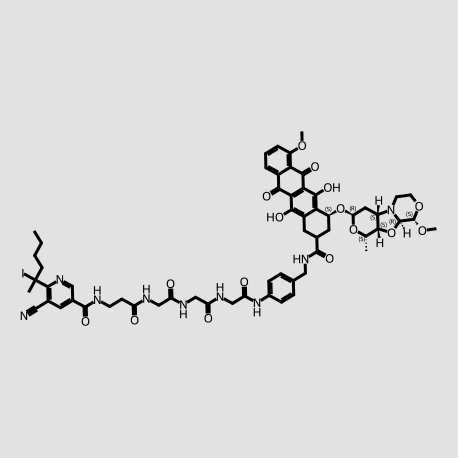 CCCCC(C)(I)c1ncc(C(=O)NCCC(=O)NCC(=O)NCC(=O)NCC(=O)Nc2ccc(CNC(=O)C3Cc4c(O)c5c(c(O)c4[C@@H](O[C@H]4C[C@H]6[C@H](O[C@@H]7[C@@H](OC)OCCN76)[C@H](C)O4)C3)C(=O)c3c(OC)cccc3C5=O)cc2)cc1C#N